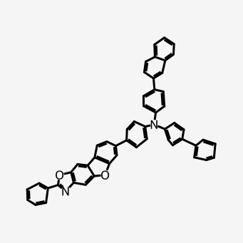 c1ccc(-c2ccc(N(c3ccc(-c4ccc5ccccc5c4)cc3)c3ccc(-c4ccc5c(c4)oc4cc6nc(-c7ccccc7)oc6cc45)cc3)cc2)cc1